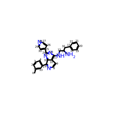 Cc1cccc(-c2nccc3c(NCC(N)Cc4ccccc4)nc(-c4ccncc4)nc23)c1